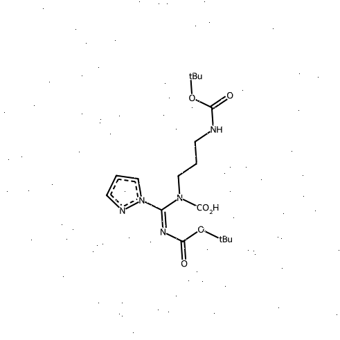 CC(C)(C)OC(=O)N=C(N(CCCNC(=O)OC(C)(C)C)C(=O)O)n1cccn1